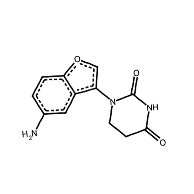 Nc1ccc2occ(N3CCC(=O)NC3=O)c2c1